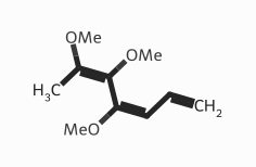 C=C/C=C(OC)\C(OC)=C(/C)OC